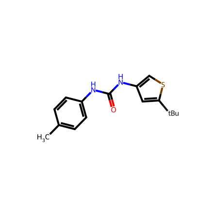 Cc1ccc(NC(=O)Nc2csc(C(C)(C)C)c2)cc1